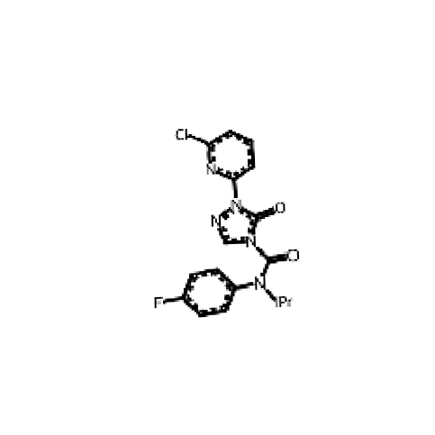 CC(C)N(C(=O)n1cnn(-c2cccc(Cl)n2)c1=O)c1ccc(F)cc1